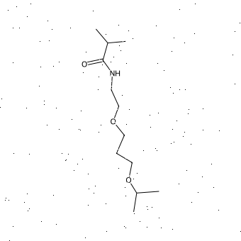 CC(C)OCCCOCCNC(=O)C(C)C